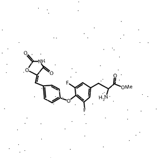 COC(=O)C(N)Cc1cc(F)c(Oc2ccc(C=C3OC(=O)NC3=O)cc2)c(F)c1